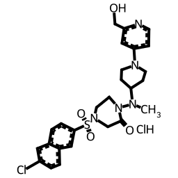 CN(C1CCN(c2ccnc(CO)c2)CC1)N1CCN(S(=O)(=O)c2ccc3cc(Cl)ccc3c2)CC1=O.Cl